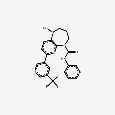 C=C(Nc1cccnc1)N1CCCN(C)c2ccc(-c3cncc(C(F)(F)F)c3)nc21